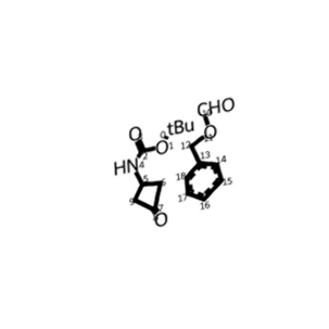 CC(C)(C)OC(=O)NC1CC(=O)C1.O=COCc1ccccc1